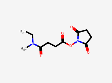 CCN(C)C(=O)CCC(=O)ON1C(=O)CCC1=O